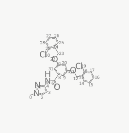 Cn1ccc(NC(=O)c2cc(OCc3ccccc3Cl)cc(OCc3ccccc3Cl)c2)n1